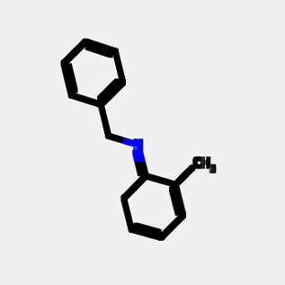 CC1=CC=CCC1=NCc1ccccc1